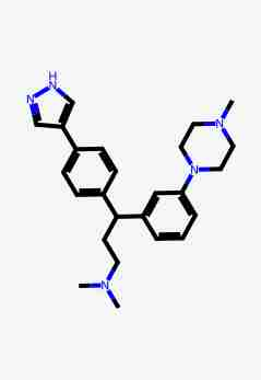 CN(C)CCC(c1ccc(-c2cn[nH]c2)cc1)c1cccc(N2CCN(C)CC2)c1